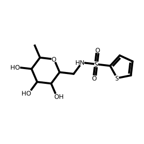 CC1OC(CNS(=O)(=O)c2cccs2)C(O)C(O)C1O